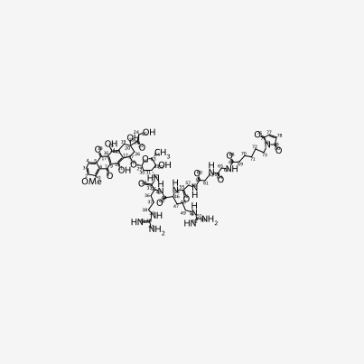 COc1cccc2c1C(=O)c1c(O)c3c(c(O)c1C2=O)C[C@](O)(C(=O)CO)C[C@H]3O[C@@H]1C[C@@H](NC(=O)C(CCCNC(=N)N)NC(=O)C(CCCNC(=N)N)NC(=O)CNC(=O)CNC(=O)CNC(=O)CCCCCN2C(=O)C=CC2=O)[C@@H](O)[C@@H](C)O1